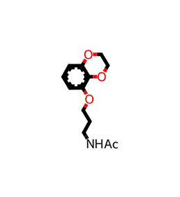 CC(=O)NCCCOc1cccc2c1OCCO2